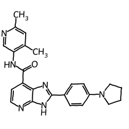 Cc1cc(C)c(NC(=O)c2ccnc3[nH]c(-c4ccc(N5CCCC5)cc4)nc23)cn1